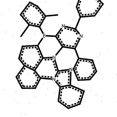 Cc1cccc(C)c1B1c2nc(-c3ccccc3)nc(-c3ccccc3)c2-n2c3c1ccc1cccc(c13)n1c3ccccc3nc21